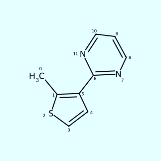 Cc1sccc1-c1ncccn1